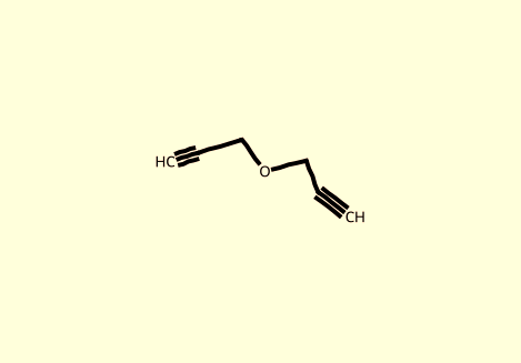 C#CCOCC#C